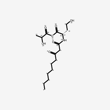 CCCCCCCC(=O)CC(=O)N[C@@H](CCO)C(=O)OC(=O)C(C)O